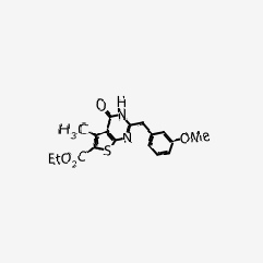 CCOC(=O)c1sc2nc(Cc3cccc(OC)c3)[nH]c(=O)c2c1C